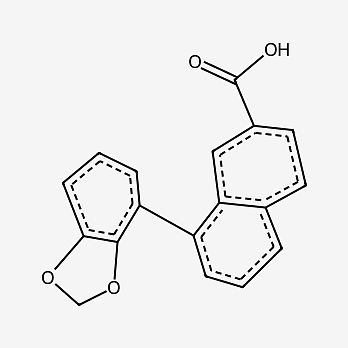 O=C(O)c1ccc2cccc(-c3cccc4c3OCO4)c2c1